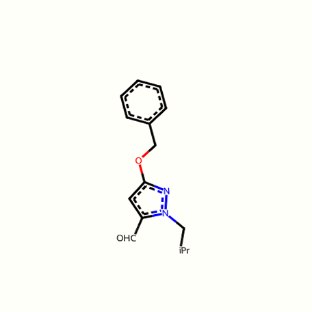 CC(C)Cn1nc(OCc2ccccc2)cc1C=O